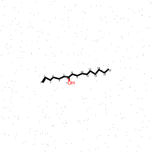 C=CCCCCC(O)CCCCCCCCC